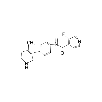 CC1=C(c2ccc(NC(=O)c3ccncc3F)cc2)CNCC1